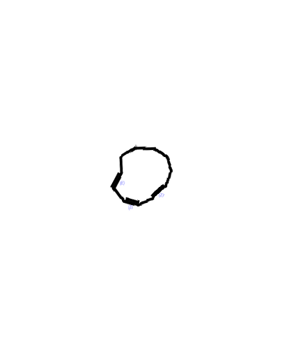 [CH]1C/C=C/C=C\C=C/CCC1